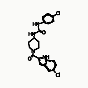 O=C(Nc1ccc(Cl)cc1)NC1CCN(C(=O)c2cc3cc(Cl)ccc3[nH]2)CC1